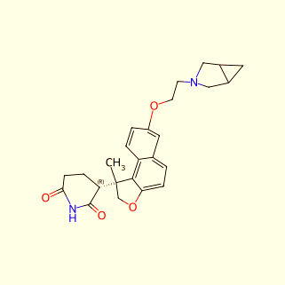 CC1([C@H]2CCC(=O)NC2=O)COc2ccc3cc(OCCN4CC5CC5C4)ccc3c21